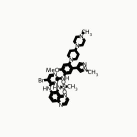 COc1cc(N2CCC(N3CCN(C)CC3)CC2)c(-c2cnn(C)c2)cc1Nc1ncc(Br)c(Nc2ccc3nccnc3c2NS(C)(=O)=O)n1